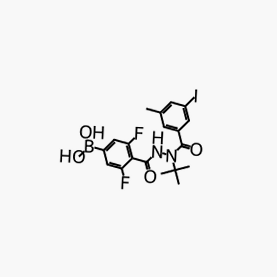 Cc1cc(I)cc(C(=O)N(NC(=O)c2c(F)cc(B(O)O)cc2F)C(C)(C)C)c1